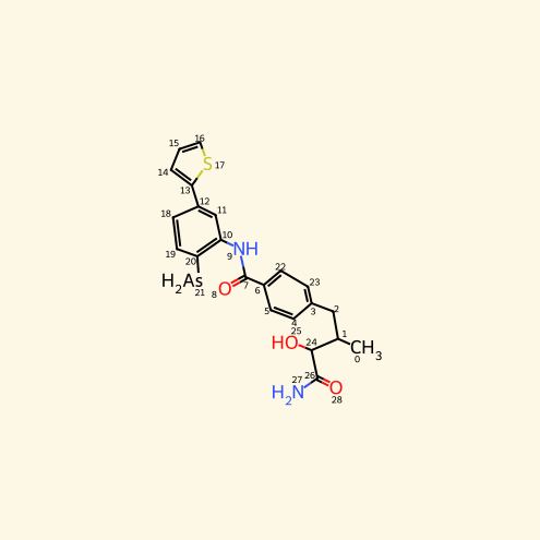 CC(Cc1ccc(C(=O)Nc2cc(-c3cccs3)ccc2[AsH2])cc1)C(O)C(N)=O